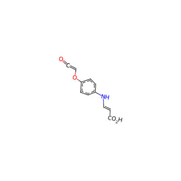 O=C=COc1ccc(NC=CC(=O)O)cc1